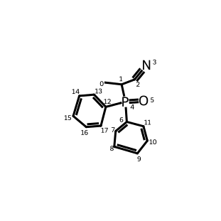 CC(C#N)P(=O)(c1ccccc1)c1ccccc1